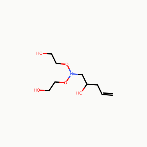 C=CCC(O)CN(OCCO)OCCO